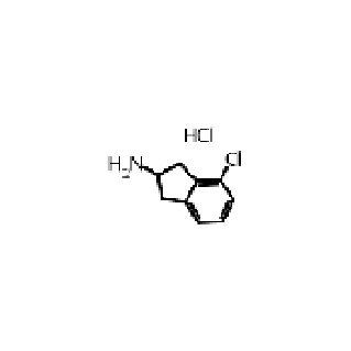 Cl.NC1Cc2cccc(Cl)c2C1